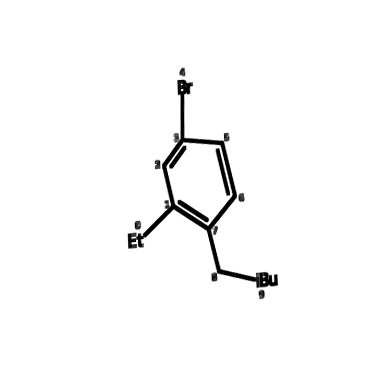 CCc1cc(Br)ccc1CC(C)CC